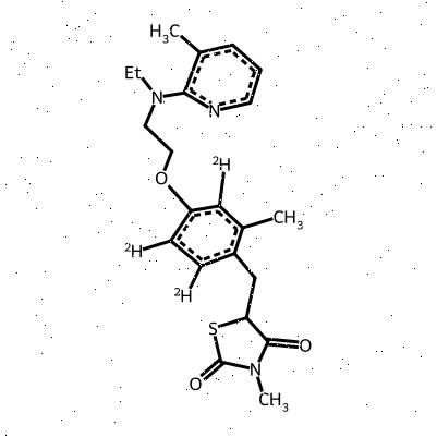 [2H]c1c([2H])c(OCCN(CC)c2ncccc2C)c([2H])c(C)c1CC1SC(=O)N(C)C1=O